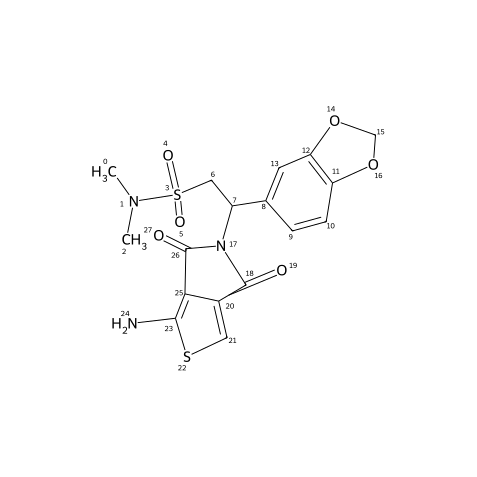 CN(C)S(=O)(=O)CC(c1ccc2c(c1)OCO2)N1C(=O)c2csc(N)c2C1=O